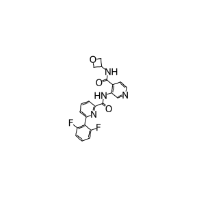 O=C(Nc1cnccc1C(=O)NC1COC1)c1cccc(-c2c(F)cccc2F)n1